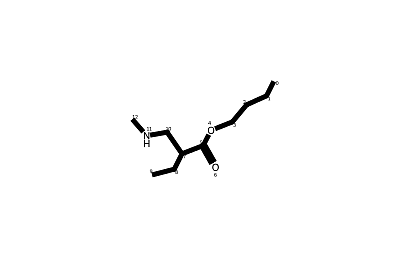 CCCCOC(=O)C(CC)CNC